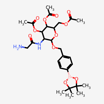 CC(=O)OCC1OC(OCc2ccc(B3OC(C)(C)C(C)(C)O3)cc2)C(NC(=O)CN)C(OC(C)=O)C1OC(C)=O